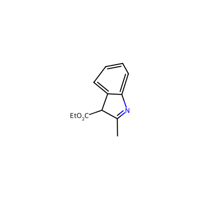 CCOC(=O)C1C(C)=Nc2ccccc21